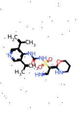 C=C(C)c1cncc(C(=C)C)c1NC(=O)NS(=O)(=O)/C(C=N)=C1/NCCCO1